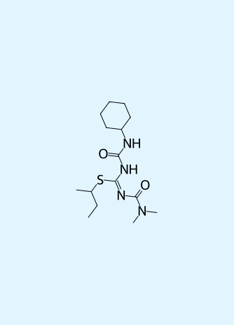 CCC(C)SC(=NC(=O)N(C)C)NC(=O)NC1CCCCC1